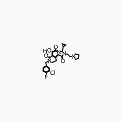 O=C1c2c(c3n(c(=O)c2O)C(C2CC2)N(CCN2CCCC2)C3=O)CCN1Cc1ccc(F)c(Cl)c1